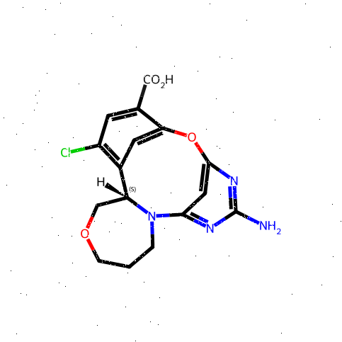 Nc1nc2cc(n1)N1CCCOC[C@@H]1c1cc(c(C(=O)O)cc1Cl)O2